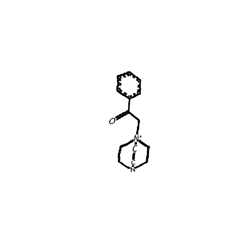 O=C(C[N+]12CCN(CC1)CC2)c1ccccc1